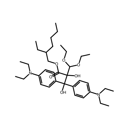 CCCCC(CC)COC(=O)C(O)(C(OCC)OCC)C(O)(c1ccc(N(CC)CC)cc1)c1ccc(N(CC)CC)cc1